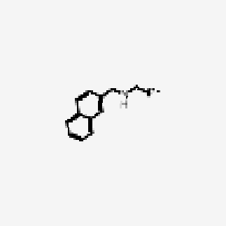 CC(C)CNCc1ccc2ccccc2c1